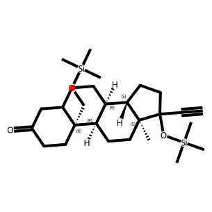 C#CC1(O[Si](C)(C)C)CC[C@H]2[C@@H]3CCC4CC(=O)CC[C@]4(CO[Si](C)(C)C)[C@@H]3CC[C@@]21C